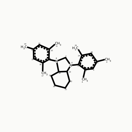 Cc1cc(C)c(N2[C]N(c3c(C)cc(C)cc3C)C3CCCCC32)c(C)c1